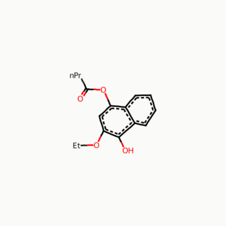 CCCC(=O)Oc1cc(OCC)c(O)c2ccccc12